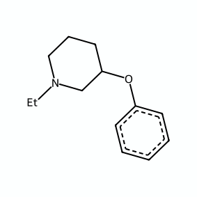 CCN1CCCC(Oc2ccccc2)C1